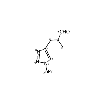 CCCn1cc(CC(C)C=O)nn1